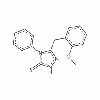 COc1ccccc1Cc1n[nH]c(=S)n1-c1ccccc1